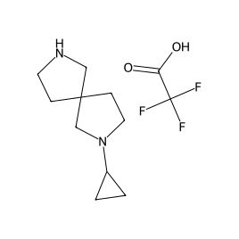 C1CC2(CCN(C3CC3)C2)CN1.O=C(O)C(F)(F)F